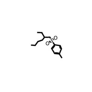 CCCCC(CC)CS(=O)(=O)c1ccc(C)cc1